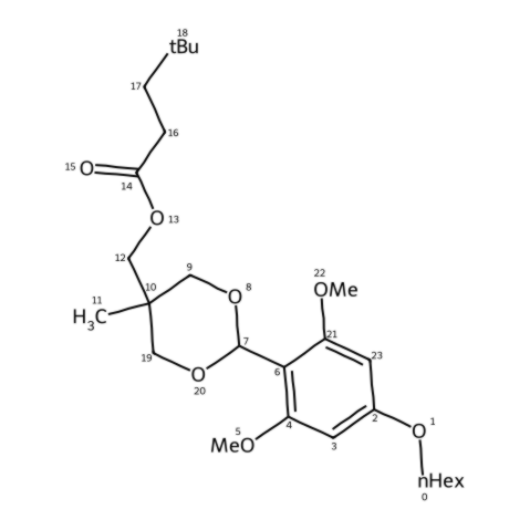 CCCCCCOc1cc(OC)c(C2OCC(C)(COC(=O)CCC(C)(C)C)CO2)c(OC)c1